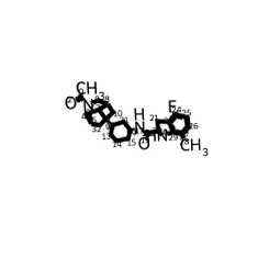 CC(=O)N1CC2CC3C(C1)CC3([C@@H]1CCC[C@@H](NC(=O)C3Cc4c(F)ccc(C)c4N3)C1)C2